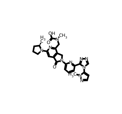 C[C@@H]1CCCN1c1cc2c(c(CN(C)C(=O)O)n1)CN(c1cccc(-c3nncn3-c3ccnn3C)n1)C2=O